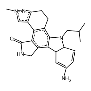 CC(C)CN1c2c3c(c4c(c2C2C=C(N)C=CC21)CNC4=O)-c1cn(C)nc1CC3